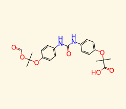 CC(C)(OC=O)Oc1ccc(NC(=O)Nc2ccc(OC(C)(C)C(=O)O)cc2)cc1